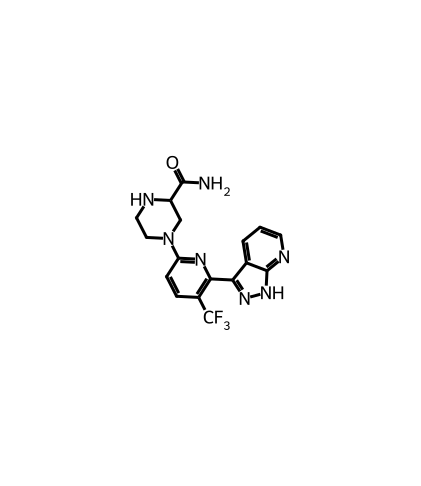 NC(=O)C1CN(c2ccc(C(F)(F)F)c(-c3n[nH]c4ncccc34)n2)CCN1